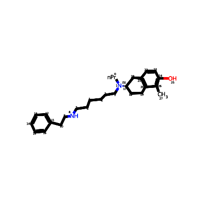 CCCN(CCCCCCNCCc1ccccc1)[C@H]1CCc2c(ccc(O)c2C)C1